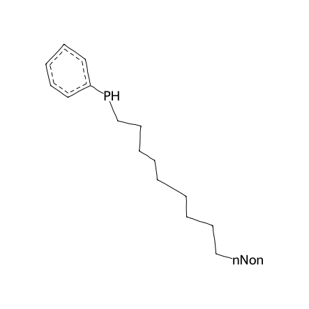 CCCCCCCCCCCCCCCCCCPc1ccccc1